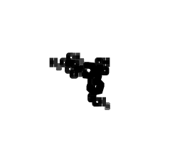 COc1ccc(CC2(C(=O)O)CCN(C(=O)OC(C)(C)C)CC2)nc1